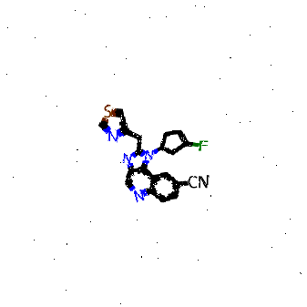 N#Cc1ccc2ncc3nc(Cc4cscn4)n(C4CCC(F)C4)c3c2c1